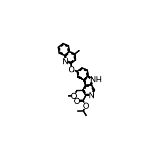 COCc1c(C(=O)OC(C)C)ncc2[nH]c3ccc(Oc4cc(C)c5ccccc5n4)cc3c12